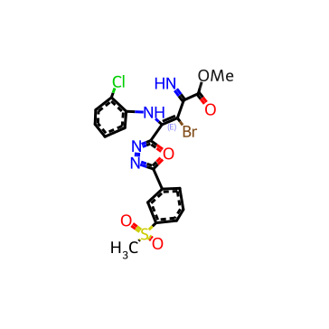 COC(=O)C(=N)/C(Br)=C(\Nc1ccccc1Cl)c1nnc(-c2cccc(S(C)(=O)=O)c2)o1